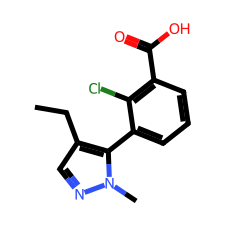 CCc1cnn(C)c1-c1cccc(C(=O)O)c1Cl